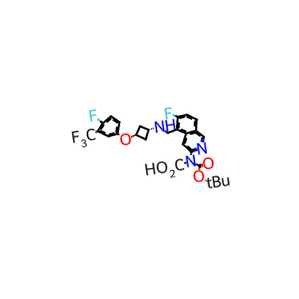 CC(C)(C)OC(=O)N(C(=O)O)c1cc2c(CN[C@H]3C[C@H](Oc4ccc(F)c(C(F)(F)F)c4)C3)c(F)ccc2cn1